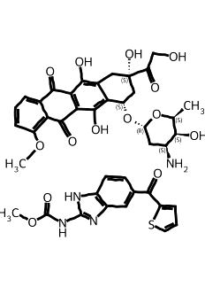 COC(=O)Nc1nc2cc(C(=O)c3cccs3)ccc2[nH]1.COc1cccc2c1C(=O)c1c(O)c3c(c(O)c1C2=O)C[C@@](O)(C(=O)CO)C[C@@H]3O[C@H]1C[C@H](N)[C@H](O)[C@H](C)O1